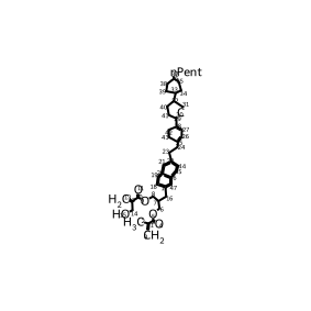 C=C(C)C(=O)OCC(COC(=O)C(=C)CO)Cc1ccc2cc(CCC3=CC=C(C4CCC(C5CCC(CCCCC)CC5)CC4)CC3)ccc2c1